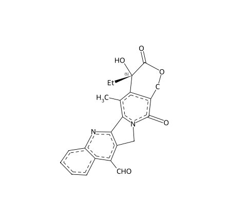 CC[C@@]1(O)C(=O)OCc2c1c(C)c1n(c2=O)Cc2c-1nc1ccccc1c2C=O